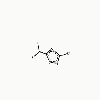 FC(F)c1nsc(Cl)n1